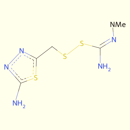 CN/N=C(/N)SSCc1nnc(N)s1